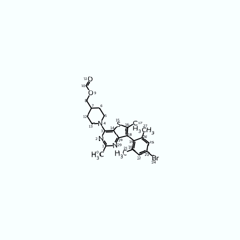 Cc1nc(N2CCC(COC=O)CC2)c2sc(C)c(-c3c(C)cc(Br)cc3C)c2n1